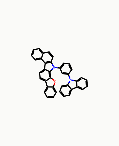 c1cc(-n2c3ccccc3c3ccccc32)cc(-n2c3ccc4ccccc4c3c3ccc4c5ccccc5oc4c32)c1